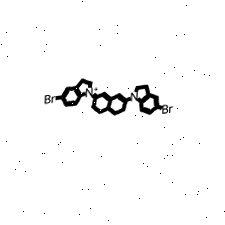 Brc1ccc2c(c1)CCN2C1=CC2=C/C(=[N+]3\CCc4cc(Br)ccc43)CCC2CC1